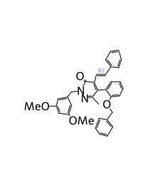 COc1cc(Cn2nc(C)c(-c3ccccc3OCc3ccccc3)c(/C=C/c3ccccc3)c2=O)cc(OC)c1